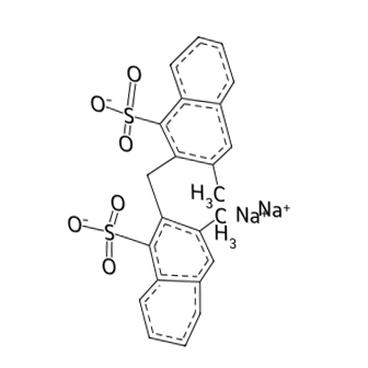 Cc1cc2ccccc2c(S(=O)(=O)[O-])c1Cc1c(C)cc2ccccc2c1S(=O)(=O)[O-].[Na+].[Na+]